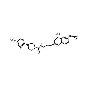 O=C(NCCCN1Cc2ccc(OC3CC3)cc2C(O)C1)C1CCN(c2ccc(C(F)(F)F)cn2)CC1